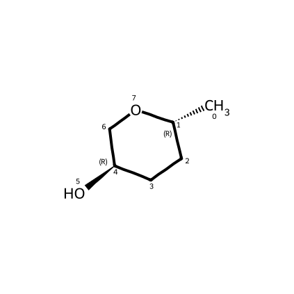 C[C@@H]1CC[C@@H](O)CO1